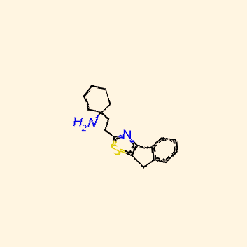 NC1(CCc2nc3c(s2)Cc2ccccc2-3)CCCCC1